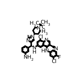 CC(C)(C)N1CCC(n2cc([C@@H](Nc3cc(Cl)c4ncc(C#N)c(Nc5ccc(F)c(Cl)c5)c4c3)c3cccc(N)c3)nn2)CC1